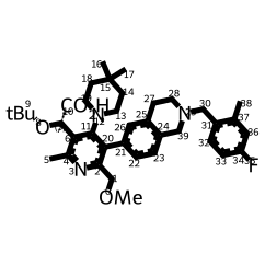 COCc1nc(C)c([C@H](OC(C)(C)C)C(=O)O)c(N2CCC(C)(C)CC2)c1-c1ccc2c(c1)CCN(Cc1ccc(F)cc1C)C2